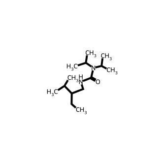 CCC(CNC(=O)N(C(C)C)C(C)C)C(C)C